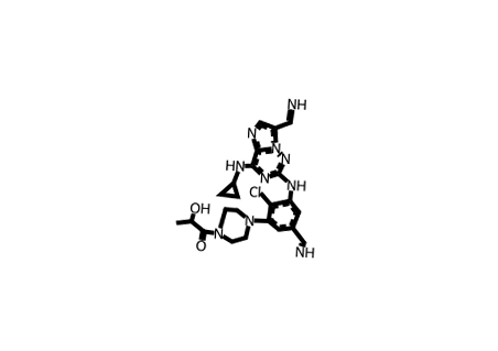 CC(O)C(=O)N1CCN(c2cc(C=N)cc(Nc3nc(NC4CC4)c4ncc(C=N)n4n3)c2Cl)CC1